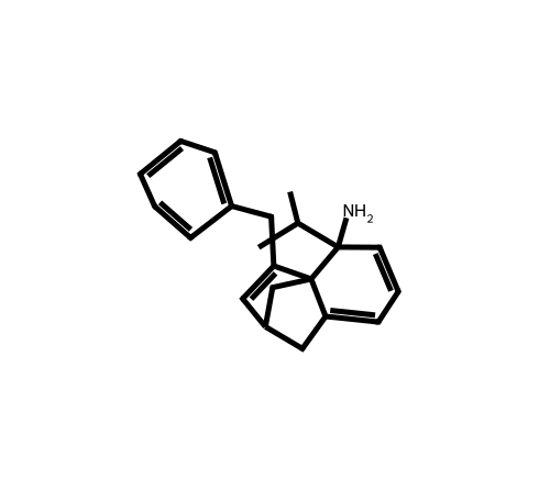 CC(C)C1(N)C=CC=C2CC3C=C(Cc4ccccc4)C21C3